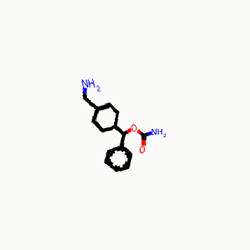 NCC1CCC(C(OC(N)=O)c2ccccc2)CC1